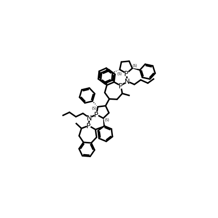 CCCCN(P1c2ccccc2CC(C2C[C@@H](c3ccccc3)P(N(CCCC)P3C(C)Cc4ccccc4CC3C)[C@@H]2c2ccccc2)CC1C)P1[C@H](c2ccccc2)CC[C@H]1c1ccccc1